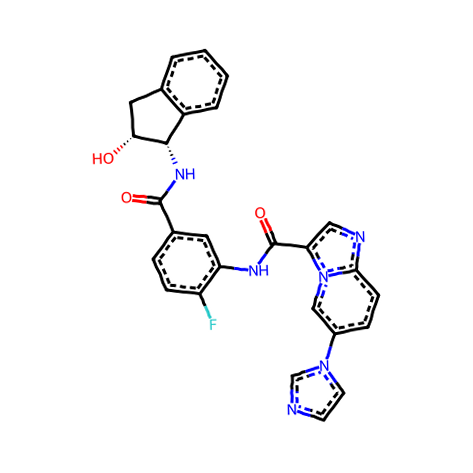 O=C(N[C@H]1c2ccccc2C[C@H]1O)c1ccc(F)c(NC(=O)c2cnc3ccc(-n4ccnc4)cn23)c1